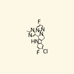 Cc1ncc(C2c3[nH]c4cc(F)c(Cl)cc4c3CCN2c2ncc(F)cn2)cn1